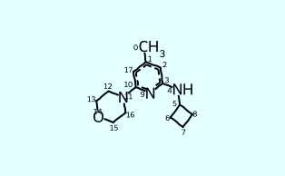 Cc1cc(NC2CCC2)nc(N2CCOCC2)c1